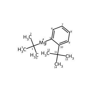 C[C](C)(C)[Mg][c]1ccccc1C(C)(C)C